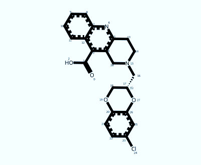 O=C(O)c1c2c(nc3ccccc13)CCN(C[C@H]1COc3ccc(Cl)cc3O1)C2